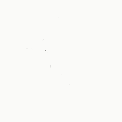 CC(C)Cc1sc(N)nc1-c1cc2oc1P(=O)(O)OC(OC(=O)c1ccccc1)CC2